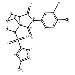 Cn1cnc(S(=O)(=O)C2C[N@]3CC4C(=O)N(c5ccc(C#N)c(I)c5)C(=O)[N+]42C3)c1